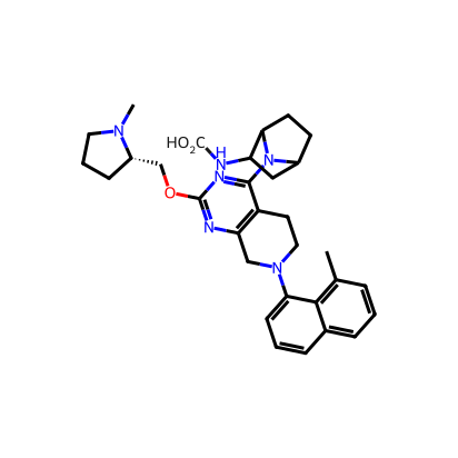 Cc1cccc2cccc(N3CCc4c(nc(OC[C@@H]5CCCN5C)nc4N4C5CCC4C(NC(=O)O)C5)C3)c12